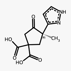 C[C@]1(c2cc[nH]n2)CC(C(=O)O)(C(=O)O)CC1=O